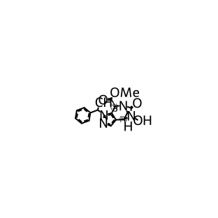 COC(=O)[C@@H]1c2c(cnn2C(C)c2ccccc2)[C@@H]2CN1C(=O)N2O